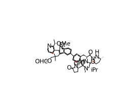 CCn1c(-c2cccnc2[C@H](C)OC)c(CC(C)(C)COC=O)c2cc(-c3cc(O)cc(C[C@H](NC(=O)[C@H](C(C)C)N(C)C(=O)C4CCC(=O)N4C)C(=O)N4CCC[C@@H](C)N4)c3)ccc21